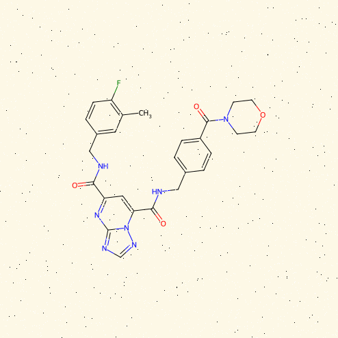 Cc1cc(CNC(=O)c2cc(C(=O)NCc3ccc(C(=O)N4CCOCC4)cc3)n3ncnc3n2)ccc1F